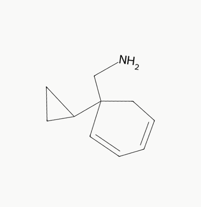 NCC1(C2CC2)C=CC=CC1